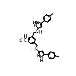 Cc1ccc(-c2cc(NCc3cccc(CNc4cc(-c5ccc(C)cc5)[nH]n4)c3)n[nH]2)cc1.Cl.Cl